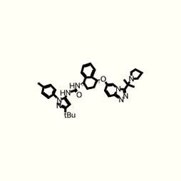 Cc1ccc(-n2nc(C(C)(C)C)cc2NC(=O)N[C@H]2CC[C@@H](Oc3ccc4nnc(C(C)(C)N5CCCC5)n4c3)c3ccccc32)cc1